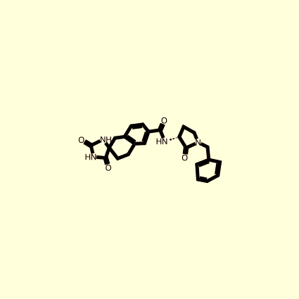 O=C1NC(=O)C2(CCc3cc(C(=O)N[C@@H]4CCN(Cc5ccccc5)C4=O)ccc3C2)N1